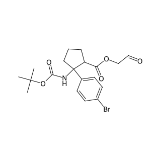 CC(C)(C)OC(=O)NC1(c2ccc(Br)cc2)CCCC1C(=O)OCC=O